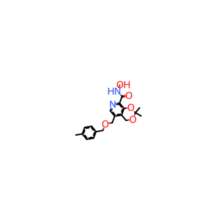 Cc1ccc(COCc2cnc(C(=O)NO)c3c2COC(C)(C)O3)cc1